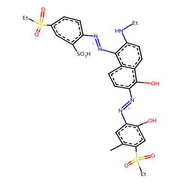 CCNc1ccc2c(O)c(/N=N/c3cc(C)c(S(=O)(=O)CC)cc3O)ccc2c1/N=N/c1ccc(S(=O)(=O)CC)cc1S(=O)(=O)O